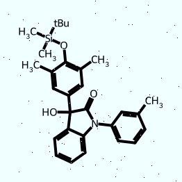 Cc1cccc(N2C(=O)C(O)(c3cc(C)c(O[Si](C)(C)C(C)(C)C)c(C)c3)c3ccccc32)c1